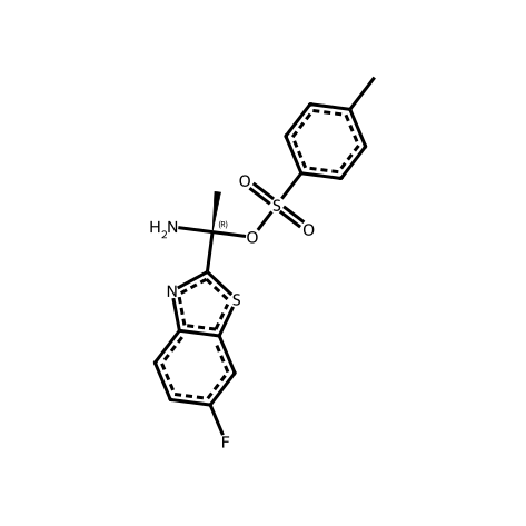 Cc1ccc(S(=O)(=O)O[C@@](C)(N)c2nc3ccc(F)cc3s2)cc1